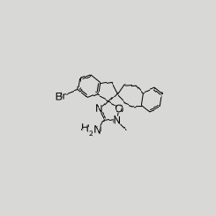 CN1OC2(N=C1N)c1cc(Br)ccc1CC21CCC2C=CC=CC2CC1